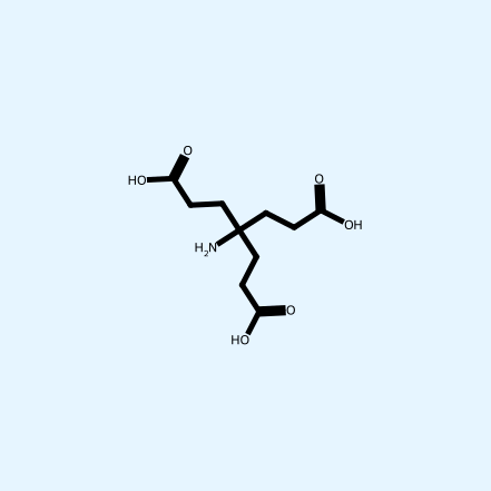 NC(CCC(=O)O)(CCC(=O)O)CCC(=O)O